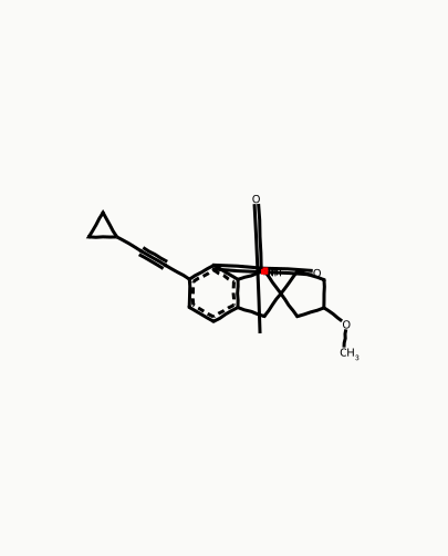 COC1CCC2(Cc3ccc(C#CC4CC4)cc3C23NC(=O)NC3=O)C1